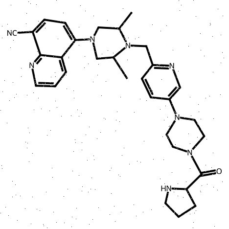 CC1CN(c2ccc(C#N)c3ncccc23)CC(C)N1Cc1ccc(N2CCN(C(=O)C3CCCN3)CC2)cn1